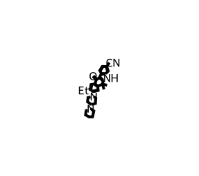 CCc1cc2c(cc1N1CCC(N3CCCCC3)CC1)C(C)(C)c1[nH]c3cc(C#N)ccc3c1C2=O